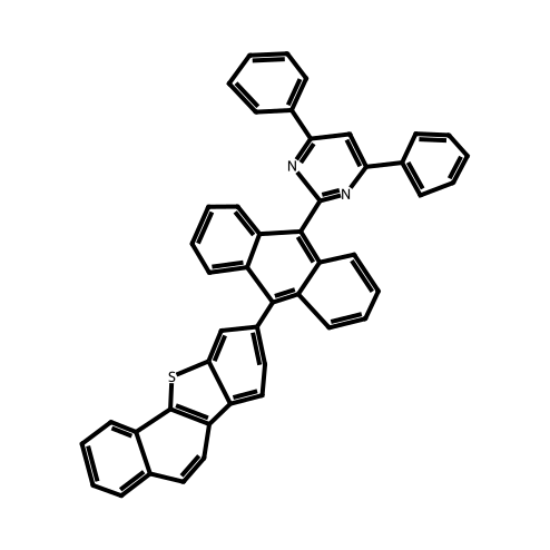 c1ccc(-c2cc(-c3ccccc3)nc(-c3c4ccccc4c(-c4ccc5c(c4)sc4c6ccccc6ccc54)c4ccccc34)n2)cc1